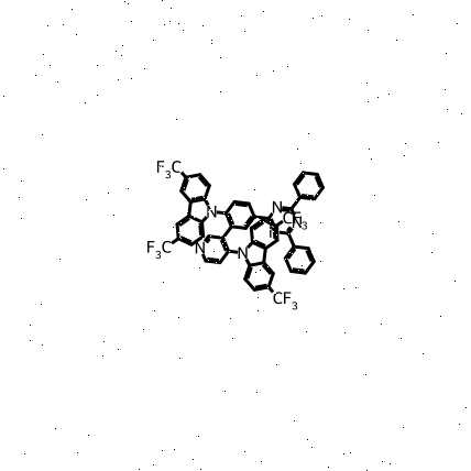 FC(F)(F)c1ccc2c(c1)c1cc(C(F)(F)F)ccc1n2-c1ccncc1-c1cc(-c2nc(-c3ccccc3)nc(-c3ccccc3)n2)ccc1-n1c2ccc(C(F)(F)F)cc2c2cc(C(F)(F)F)ccc21